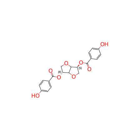 O=C(O[C@H]1COC2C1OC[C@H]2OC(=O)c1ccc(O)cc1)c1ccc(O)cc1